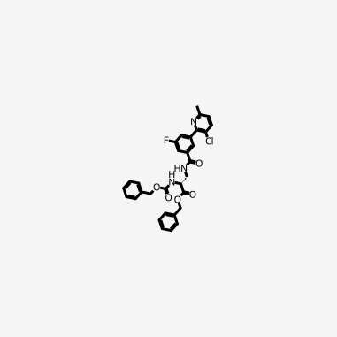 Cc1ccc(Cl)c(-c2cc(F)cc(C(=O)NC[C@@H](NC(=O)OCc3ccccc3)C(=O)OCc3ccccc3)c2)n1